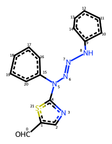 O=Cc1cnc(N(N=NNc2ccccc2)c2ccccc2)s1